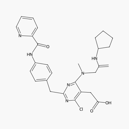 C=C(CN(C)c1nc(Cc2ccc(NC(=O)c3ccccn3)cc2)nc(Cl)c1CC(=O)O)NC1CCCC1